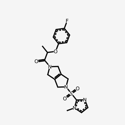 CC(Oc1ccc(F)cc1)C(=O)N1CC2=C(C1)CN(S(=O)(=O)c1nccn1C)C2